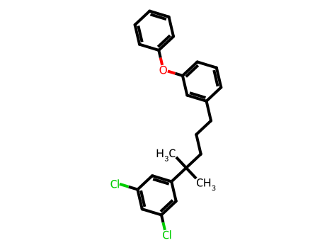 CC(C)(CCCc1cccc(Oc2ccccc2)c1)c1cc(Cl)cc(Cl)c1